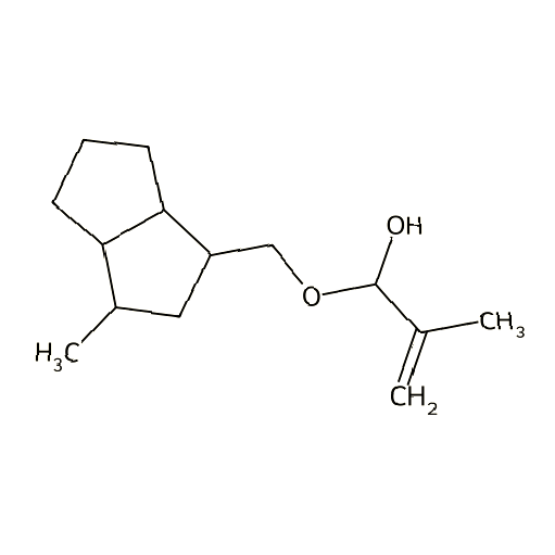 C=C(C)C(O)OCC1CC(C)C2CCCC12